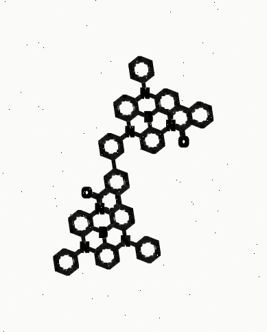 O=c1c2ccccc2c2ccc3c4c2n1-c1cccc2c1B4c1c(cccc1N3c1ccccc1)N2c1cccc(-c2ccc3c(c2)c(=O)n2c4c5c(ccc34)N(c3ccccc3)c3cccc4c3B5c3c(cccc3-2)N4c2ccccc2)c1